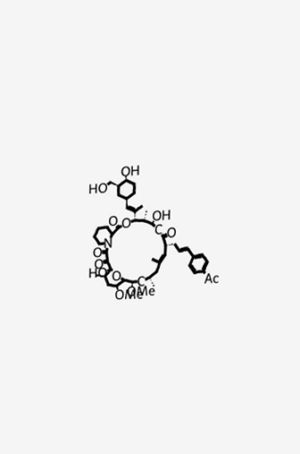 CO[C@H]1C[C@@H](C)C/C(C)=C/[C@@H](C/C=C/c2ccc(C(C)=O)cc2)C(=O)C[C@H](O)[C@@H](C)[C@@H](/C(C)=C/[C@@H]2CC[C@@H](O)[C@H](CO)C2)OC(=O)C2CCCCN2C(=O)C(=O)[C@]2(O)OC1[C@@H](OC)C[C@H]2C